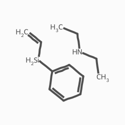 C=C[SiH2]c1ccccc1.CCNCC